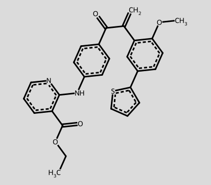 C=C(C(=O)c1ccc(Nc2ncccc2C(=O)OCC)cc1)c1cc(-c2cccs2)ccc1OC